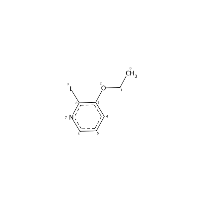 CCOc1cccnc1I